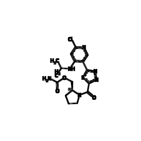 CC(C)Nc1cc(Cl)ncc1-c1nnc(C(=O)N2CCC[C@H]2COC(N)=O)s1